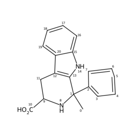 CC1(c2ccccc2)NC(C(=O)O)Cc2c1[nH]c1ccccc21